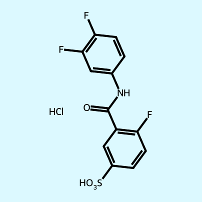 Cl.O=C(Nc1ccc(F)c(F)c1)c1cc(S(=O)(=O)O)ccc1F